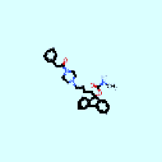 CCN(C)C(=O)OC1(CCCCN2CCN(C(=O)Cc3ccccc3)CC2)c2ccccc2-c2ccccc21